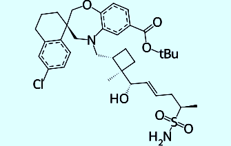 C[C@H](C/C=C/[C@H](O)[C@]1(C)CC[C@H]1CN1C[C@@]2(CCCc3cc(Cl)ccc32)COc2ccc(C(=O)OC(C)(C)C)cc21)S(N)(=O)=O